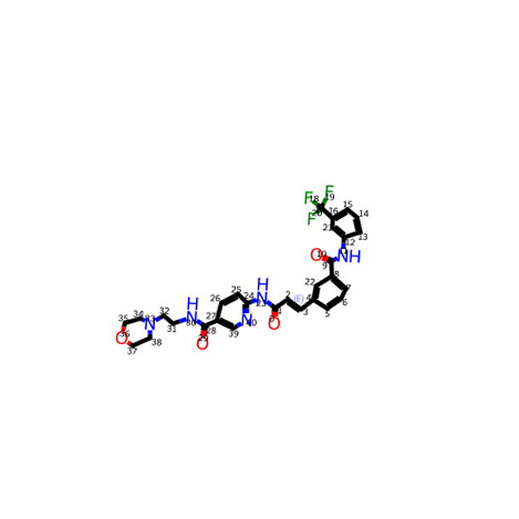 O=C(/C=C/c1cccc(C(=O)Nc2cccc(C(F)(F)F)c2)c1)Nc1ccc(C(=O)NCCN2CCOCC2)cn1